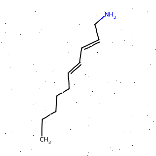 CCCCC/C=C/C=C/CN